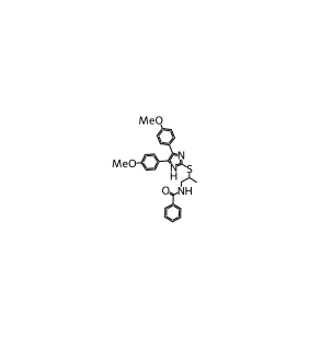 COc1ccc(-c2nc(SC(C)CNC(=O)c3ccccc3)[nH]c2-c2ccc(OC)cc2)cc1